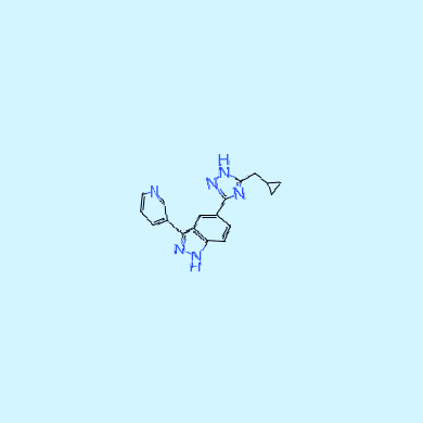 c1cncc(-c2n[nH]c3ccc(-c4n[nH]c(CC5CC5)n4)cc23)c1